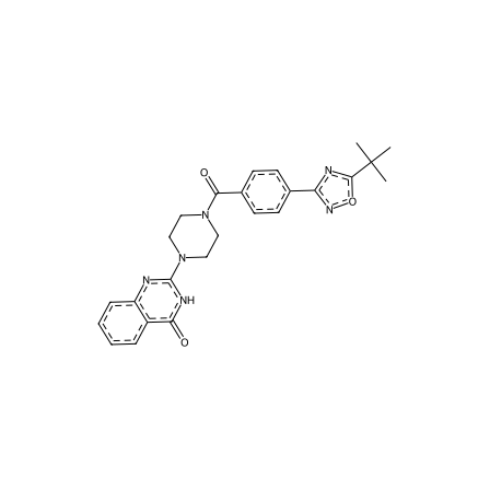 CC(C)(C)c1nc(-c2ccc(C(=O)N3CCN(c4nc5ccccc5c(=O)[nH]4)CC3)cc2)no1